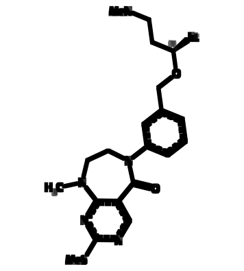 CC[C@H](CCNC)OCc1cccc(N2CCN(C)c3nc(SC)ncc3C2=O)c1